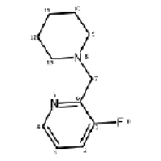 Fc1cccnc1CN1CCCCC1